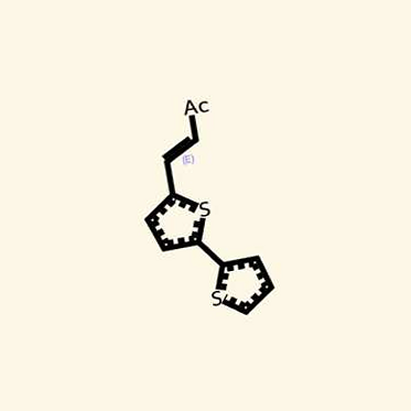 CC(=O)/C=C/c1ccc(-c2cccs2)s1